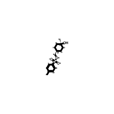 Cc1ccc(S(=O)(=O)OC[C@H]2CC[C@](C)(O)CC2)cc1